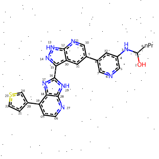 CCCC(O)Nc1cncc(-c2cnc3[nH]nc(-c4nc5c(-c6ccsc6)ccnc5[nH]4)c3c2)c1